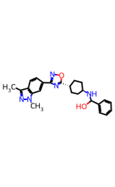 Cc1nn(C)c2cc(-c3noc([C@H]4CC[C@H](NC(O)c5ccccc5)CC4)n3)ccc12